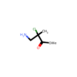 COC(=O)C(C)(Cl)CN